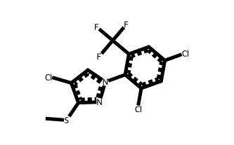 CSc1nn(-c2c(Cl)cc(Cl)cc2C(F)(F)F)cc1Cl